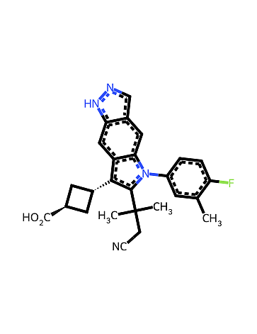 Cc1cc(-n2c(C(C)(C)CC#N)c([C@H]3C[C@H](C(=O)O)C3)c3cc4[nH]ncc4cc32)ccc1F